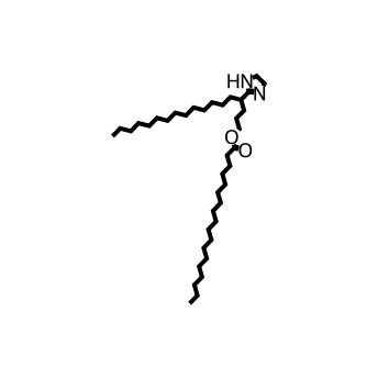 CCCCCCCCCCCCCCCCCC(=O)OCCCC(CCCCCCCCCCCCCC)C1=NCCN1